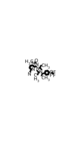 CCC1CN(C(CC)c2ccc(OC(F)(F)F)cc2)C(CC)CN1c1nc(=O)n(C)c2ccc(C#N)nc12